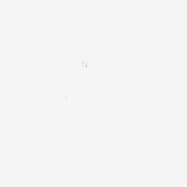 C/N=C(\OC)c1ccccc1